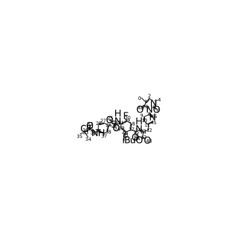 Cc1cn(C)c(=O)n(-c2ccc(C[C@H](NC(=O)c3cc(F)c(NS(=O)(=O)c4ccc(NC(=O)C(C)(C)C(F)(F)F)cc4)cc3F)C(=O)OCC(C)C)cn2)c1=O